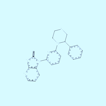 O=c1[nH]c2ncccc2n1-c1cccc(N2CCNCC2c2ccccc2)n1